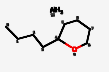 CCCCC1CCCCO1.[AlH3]